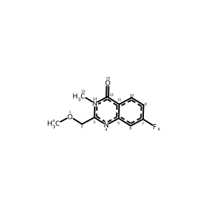 COCc1nc2cc(F)ccc2c(=O)n1C